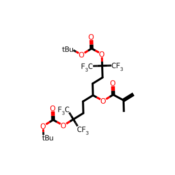 C=C(C)C(=O)OC(CCC(OC(=O)OC(C)(C)C)(C(F)(F)F)C(F)(F)F)CCC(OC(=O)OC(C)(C)C)(C(F)(F)F)C(F)(F)F